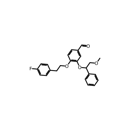 COCC(Oc1cc(C=O)ccc1OCCc1ccc(F)cc1)c1ccccc1